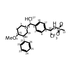 CO[C@H]1CCN(Cc2ccc([C@H](NS(C)(=O)=O)C(F)(F)F)cc2)C[C@@H]1c1ccccc1.Cl